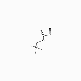 C=CC(=O)OC[N+](C)(C)C